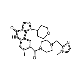 Cc1cc2[nH]c(=O)c3cnn(C4CCOCC4)c3c2cc1C(=O)N1CCN(Cc2nccn2C)CC1